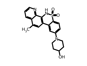 Cc1cc2c(c3ncccc13)NS(=O)(=O)c1ccc(N3CCC(O)CC3)cc1-2